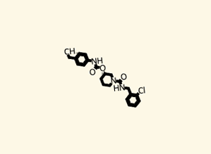 CCc1ccc(NC(=O)O[C@H]2CCCN(C(=O)NCc3ccccc3Cl)C2)cc1